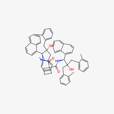 Cc1ccccc1CC(O)(Cc1ccccc1C)[C@@H](NC(=O)C1(C(=O)N[C@@H](c2cccc3ccccc23)C(O)(Cc2ccccc2C)Cc2ccccc2C)CCC1)c1cccc2ccccc12